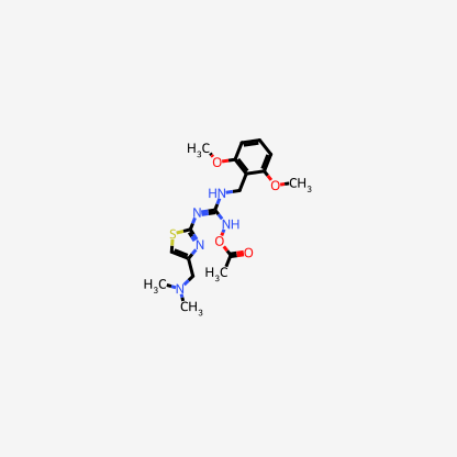 COc1cccc(OC)c1CNC(=Nc1nc(CN(C)C)cs1)NOC(C)=O